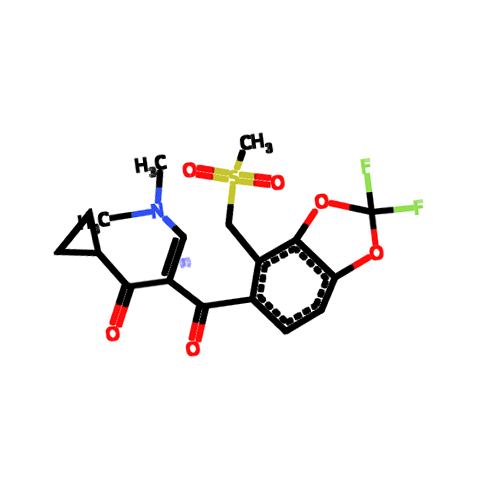 CN(C)/C=C(/C(=O)c1ccc2c(c1CS(C)(=O)=O)OC(F)(F)O2)C(=O)C1CC1